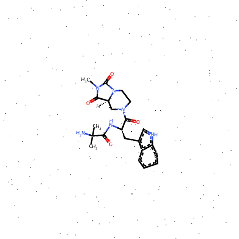 CN1C(=O)[C@@H]2CN(C(=O)[C@@H](Cc3c[nH]c4ccccc34)NC(=O)C(C)(C)N)CCN2C1=O